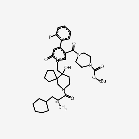 C[C@H](CC1CCCCC1)C(=O)N1CCC(O)(Cn2cc(C(=O)N3CCN(C(=O)OC(C)(C)C)CC3)c(-c3ccccc3F)cc2=O)C2(CCCC2)C1